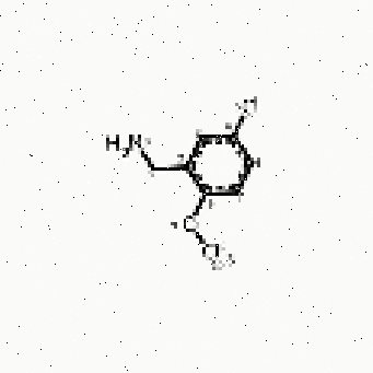 NCc1cc(Cl)ccc1OC(F)(F)F